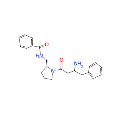 NC(CC(=O)N1CCC[C@H]1CNC(=O)c1ccccc1)Cc1ccccc1